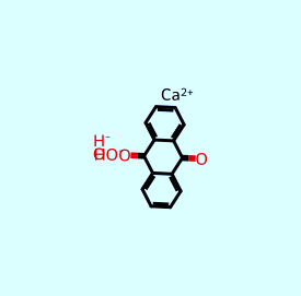 O=C1c2ccccc2C(=O)c2ccccc21.[Ca+2].[OH-].[OH-]